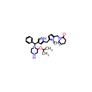 CC(C)OC1CNCCN1C(c1ccccc1)c1c[nH]c(Cc2ccc(CN3CCCCC3=O)n2C)c1